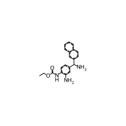 CCOC(=O)Nc1ccc(C(N)c2ccc3ccccc3c2)cc1N